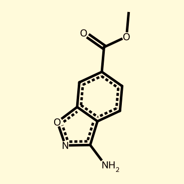 COC(=O)c1ccc2c(N)noc2c1